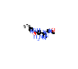 C=CC(=O)N1CC[C@@H](n2nc(-c3ccc(C(=O)Nc4cc(CCC)ccn4)cc3)c3c(N)ncnc32)C1